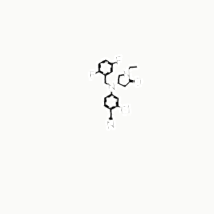 CCN1C[C@@H](N(Cc2cc(F)ccc2F)c2ccc(C#N)c(Cl)c2)CC1=O